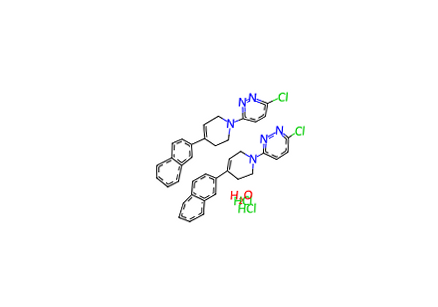 Cl.Cl.Clc1ccc(N2CC=C(c3ccc4ccccc4c3)CC2)nn1.Clc1ccc(N2CC=C(c3ccc4ccccc4c3)CC2)nn1.O